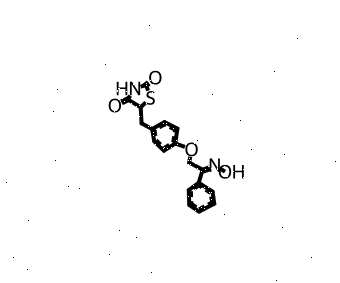 O=C1NC(=O)C(Cc2ccc(OCC(=NO)c3ccccc3)cc2)S1